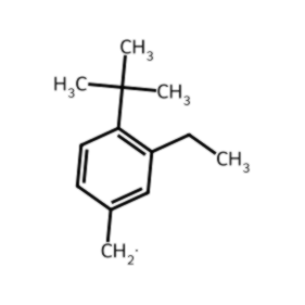 [CH2]c1ccc(C(C)(C)C)c(CC)c1